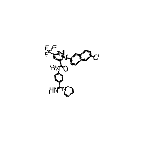 N=C(c1ccc(NC(=O)c2cc(C(F)(F)F)nn2-c2ccc3cc(Cl)ccc3c2)cc1)N1CCCCC1